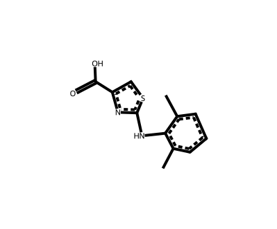 Cc1cccc(C)c1Nc1nc(C(=O)O)cs1